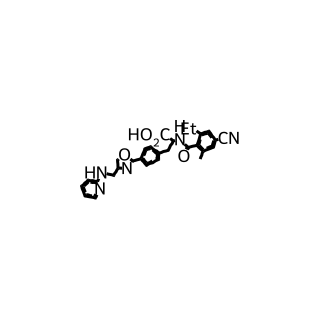 CCc1cc(C#N)cc(C)c1C(=O)NC(Cc1ccc(C2=NC(CNc3ccccn3)CO2)cc1)C(=O)O